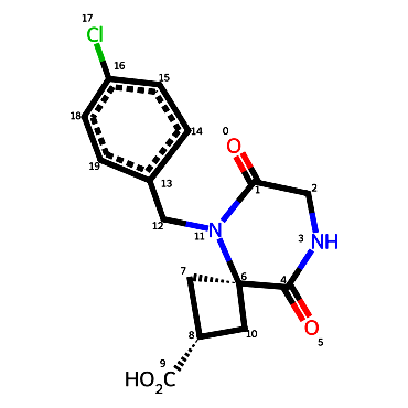 O=C1CNC(=O)[C@]2(C[C@@H](C(=O)O)C2)N1Cc1ccc(Cl)cc1